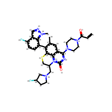 C=CC(=O)N1CCN(c2nc(=O)n3c4c(c(-c5ccc(F)c6cnn(C)c56)c(C)cc24)SCC3CN2CCC(F)C2)CC1